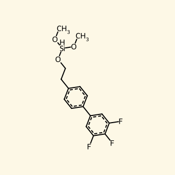 CO[SiH](OC)OCCc1ccc(-c2cc(F)c(F)c(F)c2)cc1